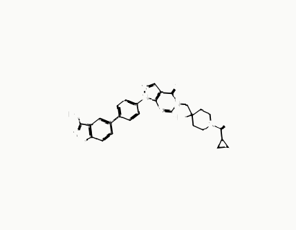 Cc1noc2ccc(-c3ccc(-n4ncc5c(=O)n(CC6(O)CCN(C(=O)C7CC7)CC6)cnc54)cc3)cc12